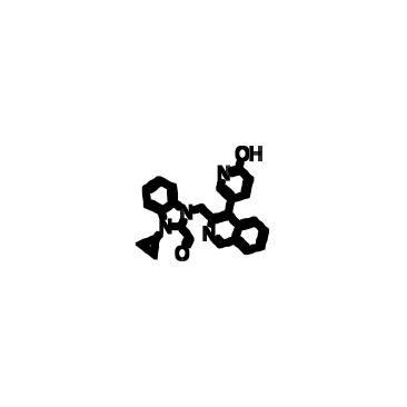 O=CC1N(Cc2ncc3ccccc3c2-c2ccc(O)nc2)c2ccccc2N1C1CC1